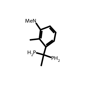 CNc1cccc(C(C)(P)P)c1C